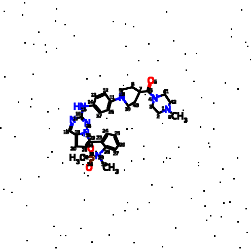 CN1CCN(C(=O)C2CCN(c3ccc(Nc4ncc5ccc(-c6ccccc6N(C)S(C)(=O)=O)n5n4)cc3)CC2)CC1